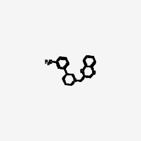 FC(F)(F)c1cccc(C2CCCN(CC3COc4ccccc4O3)C2)c1